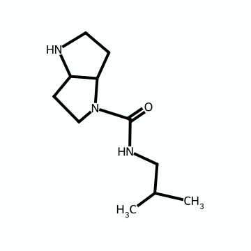 CC(C)CNC(=O)N1CCC2NCCC21